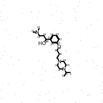 CC(C)N1CCN(CCCOc2cccc(C(O)CCN(C)C)c2)CC1